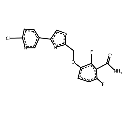 NC(=O)c1c(F)ccc(OCc2nc(-c3ccc(Cl)nc3)cs2)c1F